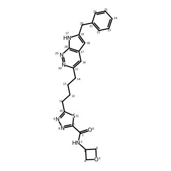 O=C(NC1COC1)c1nnc(CCCCc2cc3cc(Cc4ccccc4)[nH]c3nn2)s1